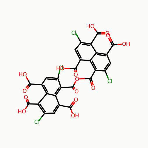 O=C(O)c1cc(Cl)c(C(=O)OC(=O)c2c(Cl)cc(C(=O)O)c3c(C(=O)O)c(Cl)cc(C(=O)O)c23)c2c(C(=O)O)cc(Cl)c(C(=O)O)c12